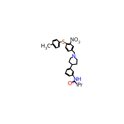 Cc1ccc(Sc2ccc(CN3CCC(c4cccc(NC(=O)C(C)C)c4)CC3)cc2[N+](=O)[O-])cc1